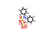 O=S(=O)(O)OS(=O)(=O)N(c1ccccc1)c1ccccc1